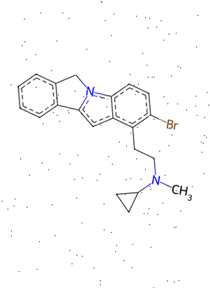 CN(CCc1c(Br)ccc2c1cc1n2Cc2ccccc2-1)C1CC1